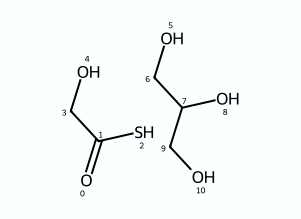 O=C(S)CO.OCC(O)CO